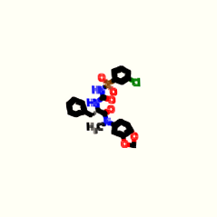 CN(C(=O)[C@H](Cc1ccccc1)NC(=O)NS(=O)(=O)c1cccc(Cl)c1)c1ccc2c(c1)OCO2